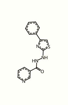 O=C(NNc1nc(-c2ccccc2)cs1)c1cccnc1